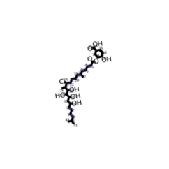 CC(/C=C/C=C/C(=O)OC1CC(C(=O)O)C=CC1O)=C\C=C\C=C(/Cl)C(C)C(O)C(O)C(O)CC(O)/C=C/C=C/C(C)C